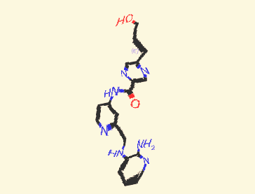 Nc1ncccc1NCc1cc(NC(=O)c2cnc(/C=C/CO)cn2)ccn1